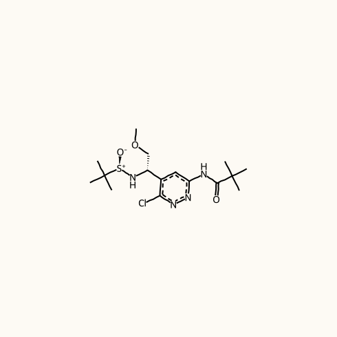 COC[C@@H](N[S@+]([O-])C(C)(C)C)c1cc(NC(=O)C(C)(C)C)nnc1Cl